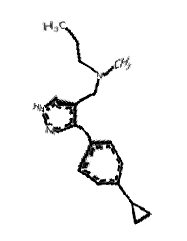 CCCN(C)Cc1c[nH]nc1-c1ccc(C2CC2)cc1